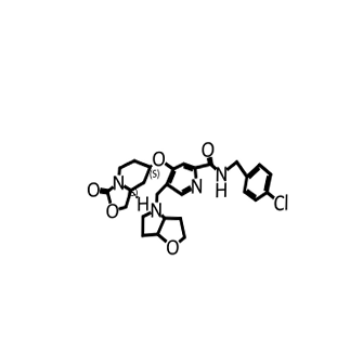 O=C(NCc1ccc(Cl)cc1)c1cc(O[C@H]2CCN3C(=O)OC[C@@H]3C2)c(CN2CCC3OCCC32)cn1